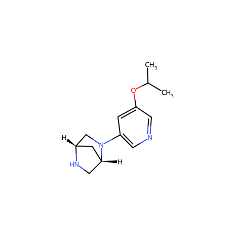 CC(C)Oc1cncc(N2C[C@@H]3C[C@H]2CN3)c1